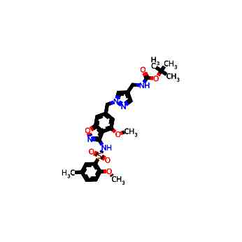 COc1ccc(C)cc1S(=O)(=O)Nc1noc2cc(Cn3cc(CNC(=O)OC(C)(C)C)cn3)cc(OC)c12